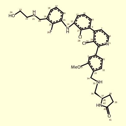 COc1cc(-c2nccc(-c3cccc(Nc4cccc(CNCCO)c4F)c3Cl)c2Cl)ccc1CNC[C@H]1CCC(=O)N1